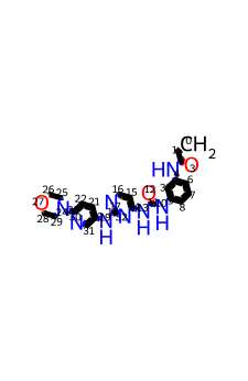 C=CC(=O)Nc1cccc(NC(=O)Nc2ccnc(Nc3ccc(N4CCOCC4)nc3)n2)c1